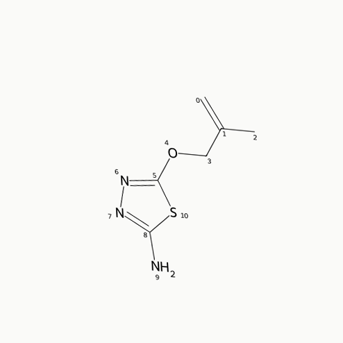 C=C(C)COc1nnc(N)s1